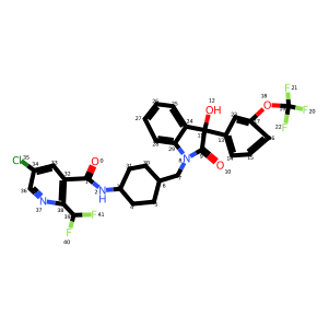 O=C(NC1CCC(CN2C(=O)C(O)(c3cccc(OC(F)(F)F)c3)c3ccccc32)CC1)c1cc(Cl)cnc1C(F)F